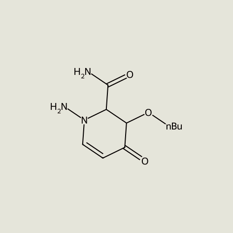 CCCCOC1C(=O)C=CN(N)C1C(N)=O